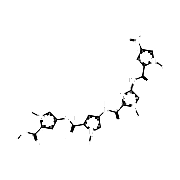 COC(=O)c1cc(NC(=O)c2cc(NC(=O)c3nc(NC(=O)c4cc([N+](=O)[O-])cn4C)cn3C)cn2C)cn1C